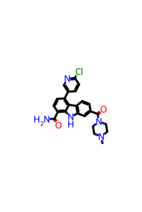 CN1CCN(C(=O)c2ccc3c(c2)[nH]c2c(C(N)=O)ccc(-c4ccc(Cl)nc4)c23)CC1